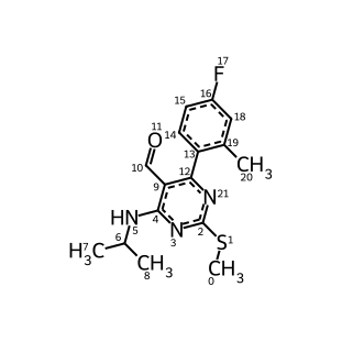 CSc1nc(NC(C)C)c(C=O)c(-c2ccc(F)cc2C)n1